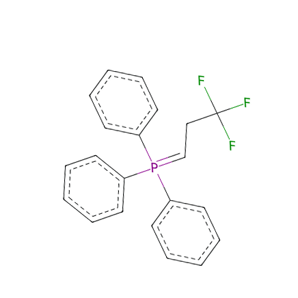 FC(F)(F)CC=P(c1ccccc1)(c1ccccc1)c1ccccc1